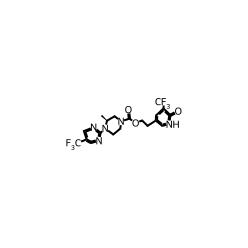 C[C@H]1CN(C(=O)OCCc2c[nH]c(=O)c(C(F)(F)F)c2)CCN1c1ncc(C(F)(F)F)cn1